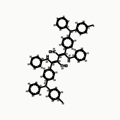 Cc1ccc(N(c2ccccc2)c2ccc(/C(Nc3ccccc3)=C(C=O)/C(C=O)=C(\Nc3ccccc3)c3ccc(N(c4ccccc4)c4ccc(C)cc4)cc3)cc2)cc1